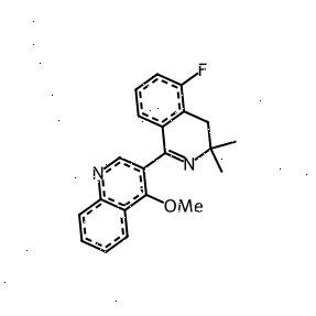 COc1c(C2=NC(C)(C)Cc3c(F)cccc32)cnc2ccccc12